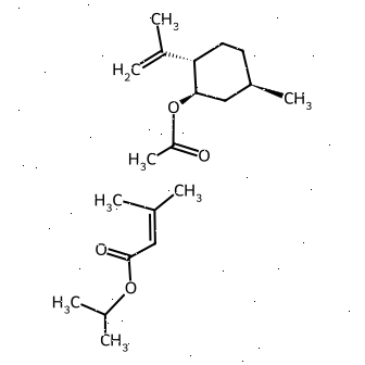 C=C(C)[C@@H]1CC[C@@H](C)C[C@H]1OC(C)=O.CC(C)=CC(=O)OC(C)C